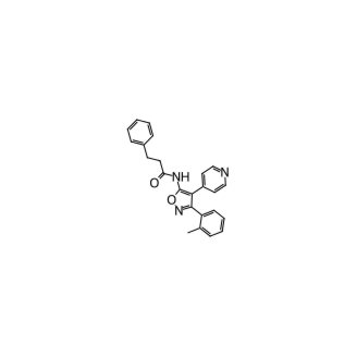 Cc1ccccc1-c1noc(NC(=O)CCc2ccccc2)c1-c1ccncc1